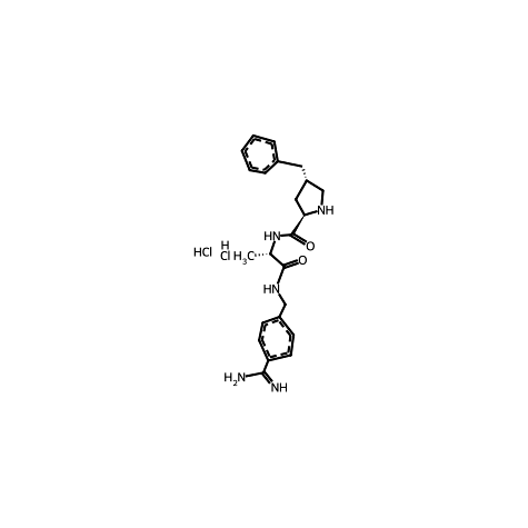 C[C@H](NC(=O)[C@H]1C[C@H](Cc2ccccc2)CN1)C(=O)NCc1ccc(C(=N)N)cc1.Cl.Cl